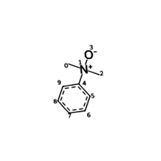 C[N+](C)([O-])c1ccccc1